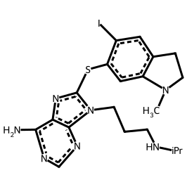 CC(C)NCCCn1c(Sc2cc3c(cc2I)CCN3C)nc2c(N)ncnc21